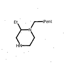 CCCC(C)CN1CCNCC1CC